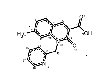 Cc1ccc2cc(C(=O)O)c(=O)n(Cc3ccccn3)c2c1